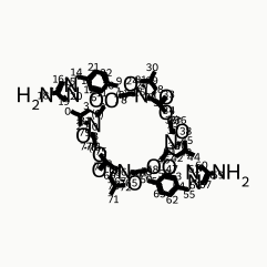 CC(C)C[C@H]1C(=O)O[C@H](Cc2ccc(Cn3cc(N)cn3)cc2)C(=O)N(C)[C@@H](CC(C)C)C(=O)O[C@H](C)C(=O)N(C)[C@@H](CC(C)C)C(=O)O[C@H](Cc2ccc(Cn3cc(N)cn3)cc2)C(=O)N(C)[C@@H](CC(C)C)C(=O)O[C@H](C)C(=O)N1C